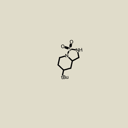 CC(C)(C)C1CCN2C(CNS2(=O)=O)C1